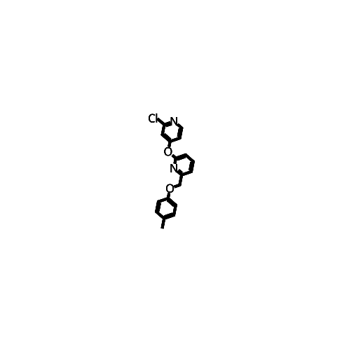 Cc1ccc(OCc2cccc(Oc3ccnc(Cl)c3)n2)cc1